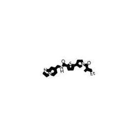 CC/C=C(\C)C(=O)N1CCC(c2ccc(C(=O)NCc3ccn4ccnc4c3)s2)C1